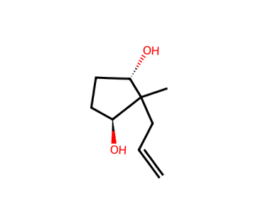 C=CCC1(C)[C@@H](O)CC[C@@H]1O